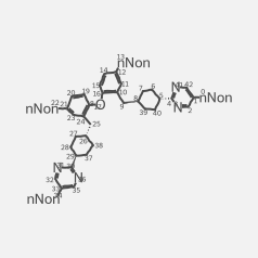 CCCCCCCCCc1cnc([C@H]2CC[C@H](Cc3cc(CCCCCCCCC)ccc3Oc3ccc(CCCCCCCCC)cc3C[C@H]3CC[C@H](c4ncc(CCCCCCCCC)cn4)CC3)CC2)nc1